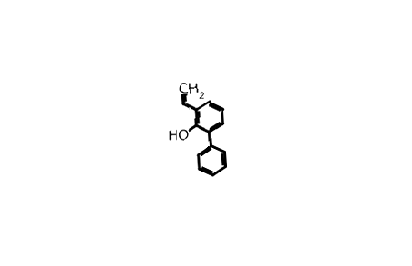 C=Cc1cccc(-c2ccccc2)c1O